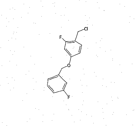 Fc1cccc(COc2ccc(CCl)c(F)c2)c1